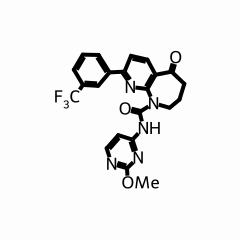 COc1nccc(NC(=O)N2CCCC(=O)c3ccc(-c4cccc(C(F)(F)F)c4)nc32)n1